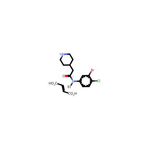 CCN(C(=O)CC1CCNCC1)c1ccc(Cl)c(Br)c1.O=C(O)/C=C/C(=O)O